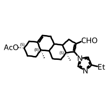 CCc1cn(C2=C(C=O)CC3C4CC=C5C[C@@H](OC(C)=O)CC[C@]5(C)C4CC[C@]23C)cn1